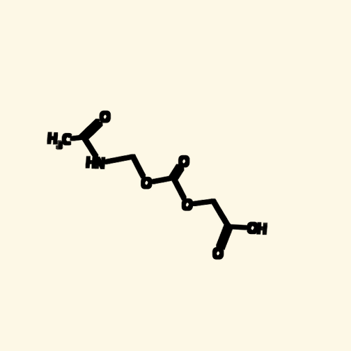 CC(=O)NCOC(=O)OCC(=O)O